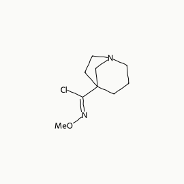 CON=C(Cl)C12CCCN(CC1)C2